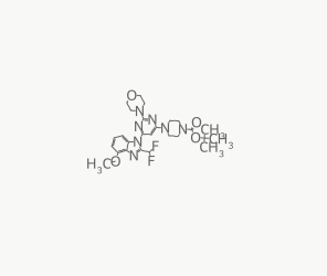 COc1cccc2c1nc(C(F)F)n2-c1cc(N2CCN(C(=O)OC(C)(C)C)CC2)nc(N2CCOCC2)n1